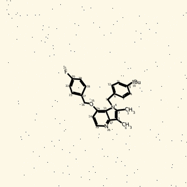 Cc1c(C)n(Cc2ccc(C(C)(C)C)cc2)c2c(OCc3ccc(F)cc3)ccnc12